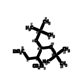 CCOC(=O)CC(C(=O)OCC)P(O[Si](C)(C)C)O[Si](C)(C)C